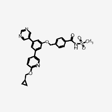 CS(=O)(=O)NC(=O)c1ccc(COc2cc(-c3cncnc3)cc(-c3ccc(OCC4CC4)nc3)c2)cc1